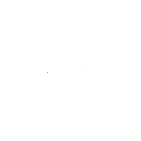 N#Cc1cncc(N2CCC3CNC3C2)c1.O=C(O)C=CC(=O)O